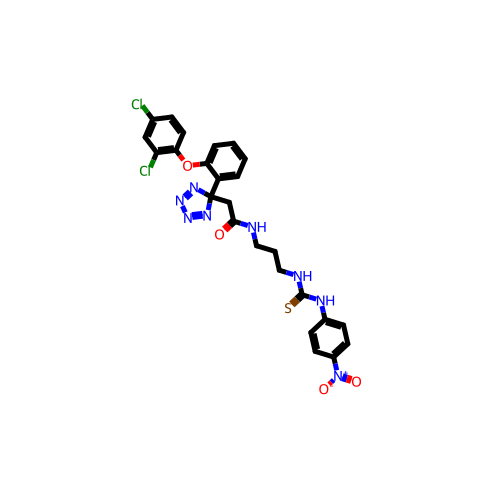 O=C(CC1(c2ccccc2Oc2ccc(Cl)cc2Cl)N=NN=N1)NCCCNC(=S)Nc1ccc([N+](=O)[O-])cc1